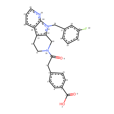 O=C(O)c1ccc(CC(=O)N2CCc3c(n(Cc4cccc(F)c4)c4ncccc34)C2)cc1